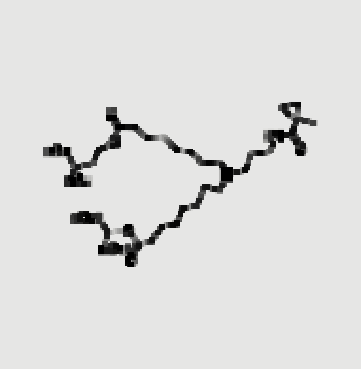 CCCCCCCCC(CCCCCCCC)OC(=O)CCCCCCCN(CCCCCCCC(=O)OCCC(CCCC)CCCC)CCCNC(=O)C1(C)CC1